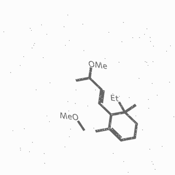 CCC1(C)CCC=C(C)C1C=CC(C)OC.COC